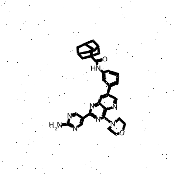 Nc1ncc(-c2nc(N3CCOCC3)c3ncc(-c4cccc(NC(=O)C56CC7CC(CC(C7)C5)C6)c4)cc3n2)cn1